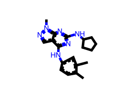 Cc1ccc(Nc2nc(NC3CCCC3)nc3c2cnn3C)cc1C